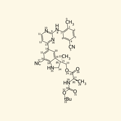 Cc1ccc(C#N)cc1Nc1nccc(-c2cc(C#N)c3c(c2)[C@@](C)(COC(=O)[C@@H](C)NC(=O)OC(C)(C)C)CN3)n1